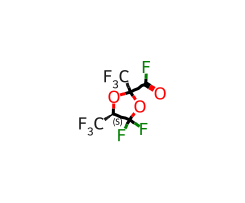 O=C(F)C1(C(F)(F)F)O[C@H](C(F)(F)F)C(F)(F)O1